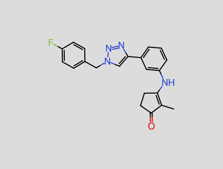 CC1=C(Nc2cccc(-c3cn(Cc4ccc(F)cc4)nn3)c2)CCC1=O